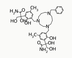 Cc1cc(CN2CCCN(Cc3ccccc3)CCCN(Cc3cc(C)cc(C(O)(CO)C(N)=O)c3O)CC2)c(O)c(C(O)(CO)C(N)=O)c1